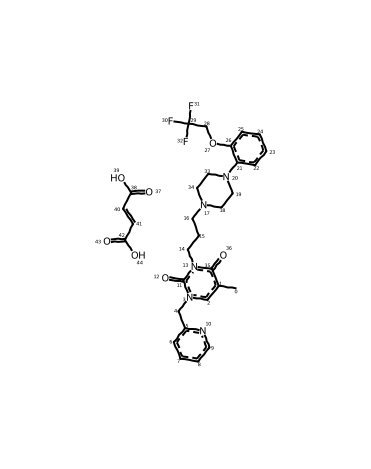 Cc1cn(Cc2ccccn2)c(=O)n(CCCN2CCN(c3ccccc3OCC(F)(F)F)CC2)c1=O.O=C(O)C=CC(=O)O